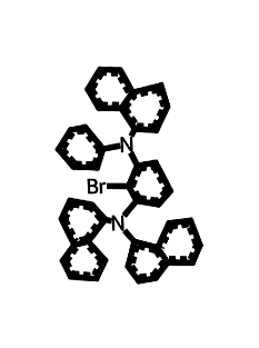 Brc1c(N(c2ccccc2)c2cccc3ccccc23)cccc1N(c1cccc2ccccc12)c1cccc2ccccc12